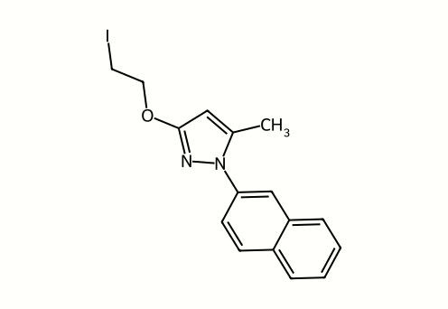 Cc1cc(OCCI)nn1-c1ccc2ccccc2c1